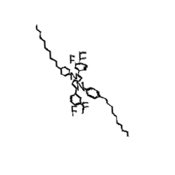 CCCCCCCCCCc1ccc(-n2c(-c3ccc(F)c(F)c3)cc3c2cc(-c2ccc(F)c(F)c2)n3-c2ccc(CCCCCCCCCC)cc2)cc1